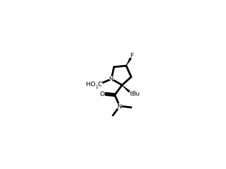 CN(C)C(=O)[C@@]1(C(C)(C)C)C[C@H](F)CN1C(=O)O